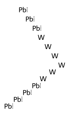 [Pb].[Pb].[Pb].[Pb].[Pb].[Pb].[Pb].[W].[W].[W].[W].[W].[W]